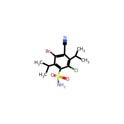 CC(C)c1c(Cl)c(S(N)(=O)=O)c(C(C)C)c(Br)c1C#N